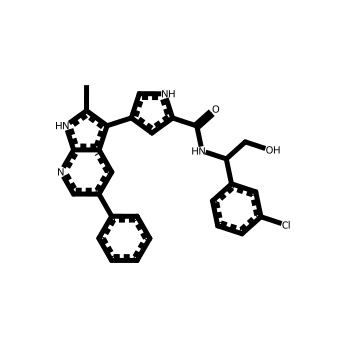 Cc1[nH]c2ncc(-c3ccccc3)cc2c1-c1c[nH]c(C(=O)NC(CO)c2cccc(Cl)c2)c1